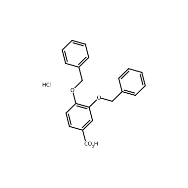 Cl.O=C(O)c1ccc(OCc2ccccc2)c(OCc2ccccc2)c1